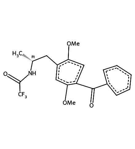 COc1cc(C(=O)c2ccccc2)c(OC)cc1C[C@@H](C)NC(=O)C(F)(F)F